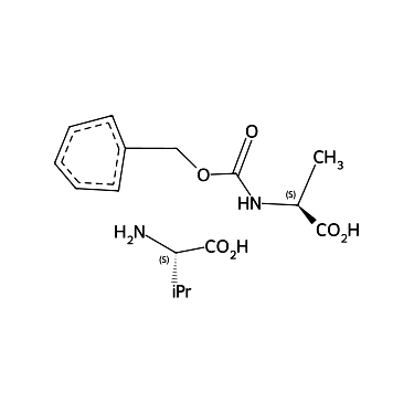 CC(C)[C@H](N)C(=O)O.C[C@H](NC(=O)OCc1ccccc1)C(=O)O